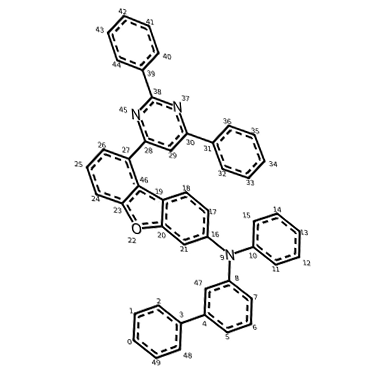 c1ccc(-c2cccc(N(c3ccccc3)c3ccc4c(c3)oc3cccc(-c5cc(-c6ccccc6)nc(-c6ccccc6)n5)c34)c2)cc1